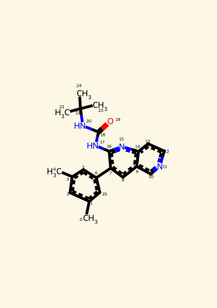 Cc1cc(C)cc(-c2cc3cnccc3nc2NC(=O)NC(C)(C)C)c1